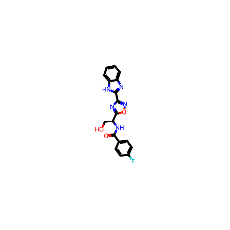 O=C(N[C@@H](CO)c1nc(-c2nc3ccccc3[nH]2)no1)c1ccc(F)cc1